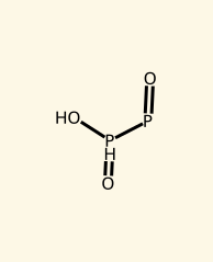 O=P[PH](=O)O